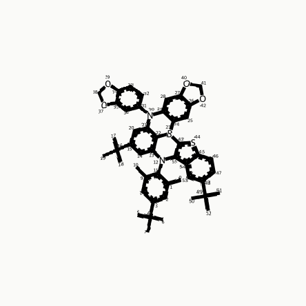 Cc1cc(C(C)(C)C)cc(C)c1N1c2cc(C(C)(C)C)cc3c2B(c2cc4c(cc2N3c2ccc3c(c2)OCO3)OCO4)c2sc3ccc(C(C)(C)C)cc3c21